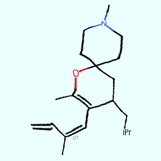 C=C/C(C)=C\C1=C(C)OC2(CCN(C)CC2)CC1CC(C)C